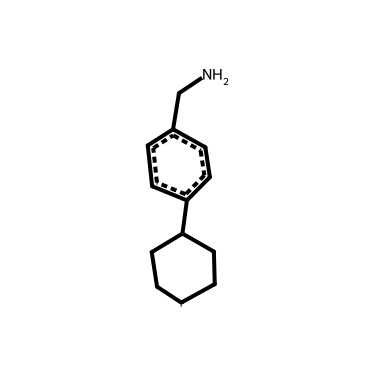 NCc1ccc(C2CC[CH]CC2)cc1